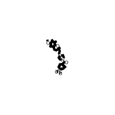 COc1c(C)c(C)c2c(c1C)CCC(C)(CCN1CCN(C(=O)c3ccc([N+](=O)[O-])cc3)CC1)O2